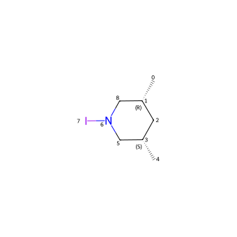 C[C@@H]1C[C@H](C)CN(I)C1